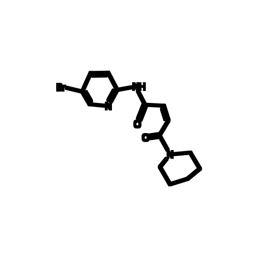 O=C(/C=C\C(=O)N1CCCCC1)Nc1ccc(Br)cn1